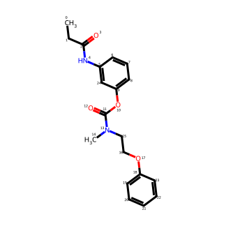 CCC(=O)Nc1cccc(OC(=O)N(C)CCOc2ccccc2)c1